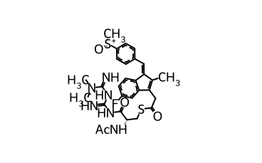 CC(=O)N[C@@H](CSC(=O)CC1=C(C)/C(=C/c2ccc([S+](C)[O-])cc2)c2ccc(F)cc21)C(=O)NC(=N)NC(=N)N(C)C